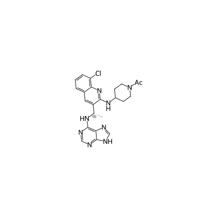 CC(=O)N1CCC(Nc2nc3c(Cl)cccc3cc2[C@H](C)Nc2ncnc3[nH]cnc23)CC1